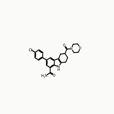 NC(=O)c1cc(-c2ccc(Cl)cc2)cc2c3c([nH]c12)CCC(C(=O)N1CCOCC1)C3